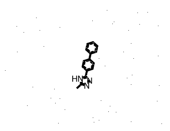 Cc1nnc(-c2ccc(-c3ccccc3)cc2)[nH]1